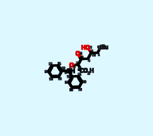 CC(C)(C)C[C@H](O)CC(=O)C(O[SiH](c1ccccc1)c1ccccc1)C(=O)O